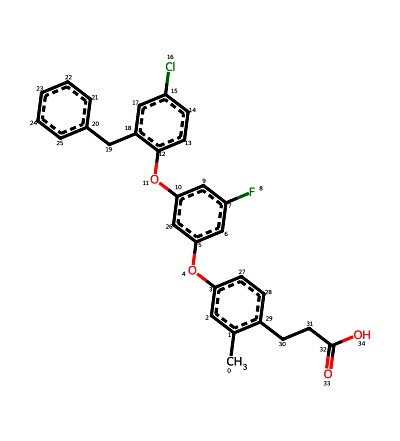 Cc1cc(Oc2cc(F)cc(Oc3ccc(Cl)cc3Cc3ccccc3)c2)ccc1CCC(=O)O